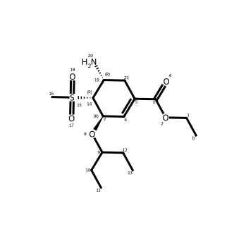 CCOC(=O)C1=C[C@@H](OC(CC)CC)[C@H](S(C)(=O)=O)[C@H](N)C1